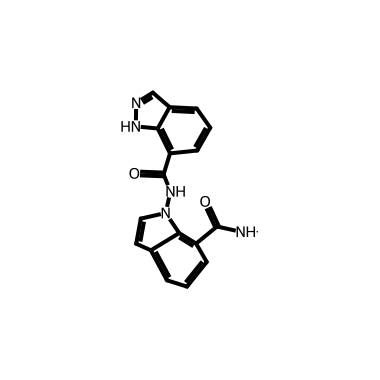 [NH]C(=O)c1cccc2ccn(NC(=O)c3cccc4cn[nH]c34)c12